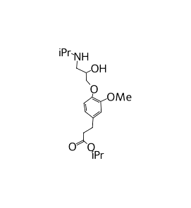 COc1cc(CCC(=O)OC(C)C)ccc1OCC(O)CNC(C)C